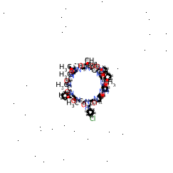 CC[C@H](C)[C@@H]1NC(=O)[C@H](CC(C)C)N(C)C(=O)C[C@@H](C(=O)N2CCCC2)N(C)C(=O)[C@H](C2CCCCC2)N(C)C(=O)C2(CCCC2)NC(=O)[C@@H]2CCCN2C(=O)[C@H](CCc2ccc(Cl)cc2)NC(=O)CN(C)C(=O)[C@H](CC2CCCCC2)N(C)C(=O)CN(C)C(=O)CN(C)C1=O